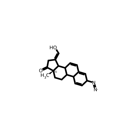 C[C@]12CCC3C4C=CC(N=[N])C=C4C=CC3C1C(=CO)CC2=O